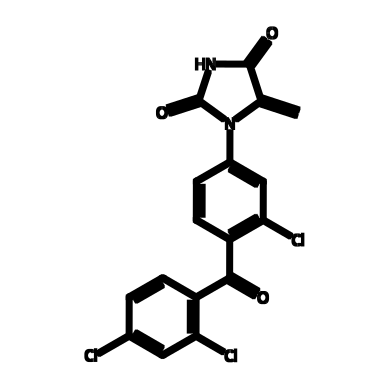 C=C1C(=O)NC(=O)N1c1ccc(C(=O)c2ccc(Cl)cc2Cl)c(Cl)c1